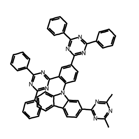 Cc1nc(C)nc(-c2ccc3c4ccccc4n(-c4ccc(-c5nc(-c6ccccc6)nc(-c6ccccc6)n5)cc4-c4nc(-c5ccccc5)nc(-c5ccccc5)n4)c3c2)n1